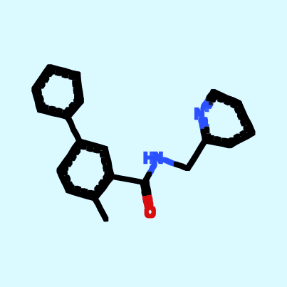 Cc1ccc(-c2ccccc2)cc1C(=O)NCc1ccccn1